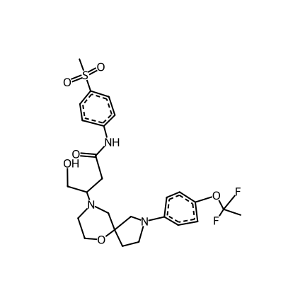 CC(F)(F)Oc1ccc(N2CCC3(C2)CN(C(CO)CC(=O)Nc2ccc(S(C)(=O)=O)cc2)CCO3)cc1